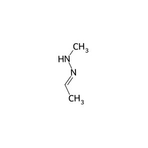 C/C=N/NC